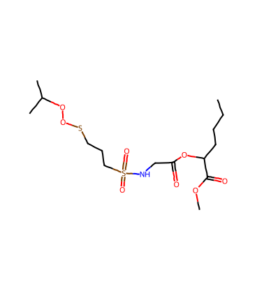 CCCCC(OC(=O)CNS(=O)(=O)CCCSOOC(C)C)C(=O)OC